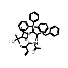 C=CC(=S)C(NC(C)=O)[C@@H]1C(C(C)(C)O)C(=O)N1C(C(=O)OCc1ccccc1)=P(c1ccccc1)(c1ccccc1)c1ccccc1